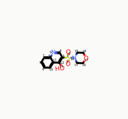 O=S(=O)(c1cnc2ccccc2c1O)N1CCOCC1